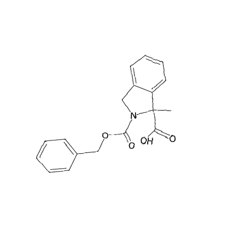 CC1(C(=O)O)c2ccccc2CN1C(=O)OCc1ccccc1